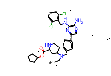 CC(C)CN(Cc1ccc(-c2cnc(N)c(NCc3c(Cl)cccc3Cl)n2)cc1)C1CCNC(C(=O)OC2CCCC2)C1